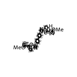 COC(=O)N[C@H](C(=O)N1CCC[C@H]1c1cn(-c2ccc(-c3ccc(-n4cnc([C@@H]5CCCN5C(=O)[C@@H](NC(=O)OC)C(C)C)c4)cc3)cc2)cn1)C(C)C